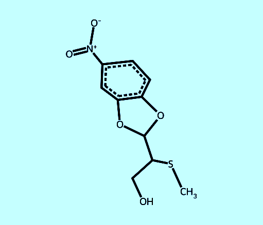 CSC(CO)C1Oc2ccc([N+](=O)[O-])cc2O1